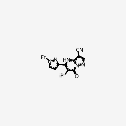 CCn1ccc(-c2[nH]c3c(C#N)cnn3c(=O)c2C(C)C)n1